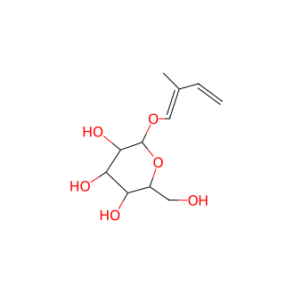 C=C/C(C)=C/OC1OC(CO)C(O)C(O)C1O